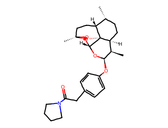 C[C@H]1[C@@H](Oc2ccc(CC(=O)N3CCCC3)cc2)O[C@@H]2O[C@]3(C)CC[C@@H]4[C@H](C)CC[C@@H]1[C@@]24OO3